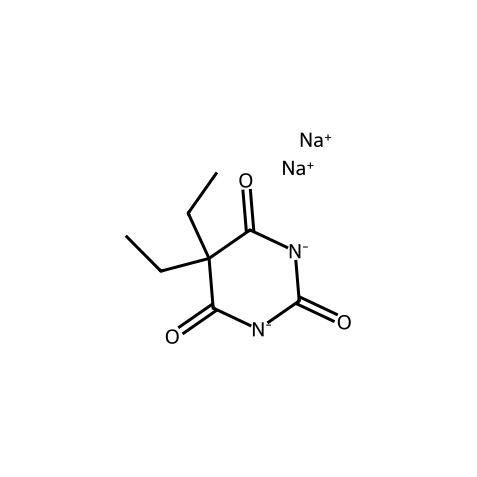 CCC1(CC)C(=O)[N-]C(=O)[N-]C1=O.[Na+].[Na+]